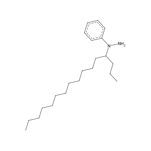 CCCCCCCCCCCCC(CCC)N(N)c1ccccc1